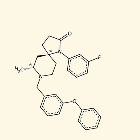 C[C@@H]1C[C@]2(CCC(=O)N2c2cccc(F)c2)CCN1Cc1cccc(Oc2ccccc2)c1